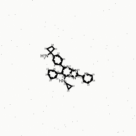 NC1(c2ccc(-c3nc4nc(-c5ccccn5)nn4c(NC4CC4)c3-c3ccccc3)cc2)CCC1